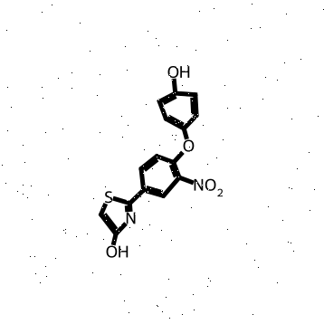 O=[N+]([O-])c1cc(-c2nc(O)cs2)ccc1Oc1ccc(O)cc1